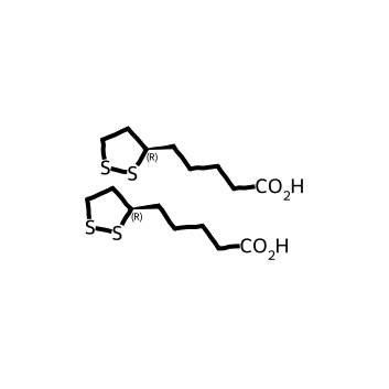 O=C(O)CCCC[C@@H]1CCSS1.O=C(O)CCCC[C@@H]1CCSS1